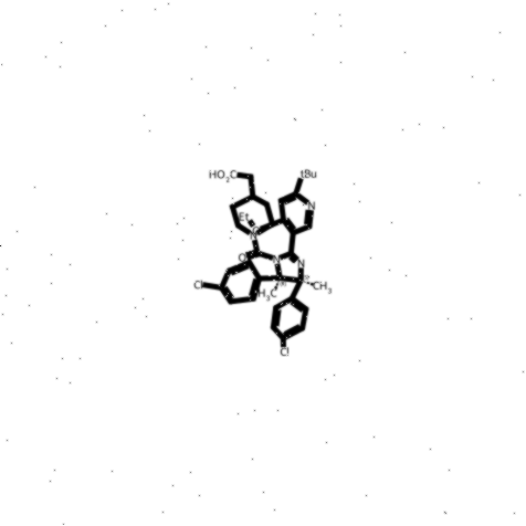 CCOc1cc(C(C)(C)C)ncc1C1=N[C@@](C)(c2ccc(Cl)cc2)[C@@](C)(c2ccc(Cl)cc2)N1C(=O)N1CCC(CC(=O)O)CC1